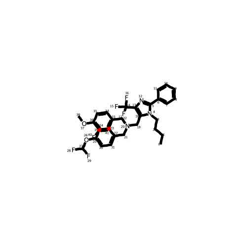 CCCCn1c(-c2ccccc2)nc(C(F)(F)F)c1CN(Cc1ccc(OC(F)F)cc1)Cc1ccc(OC)c(F)c1